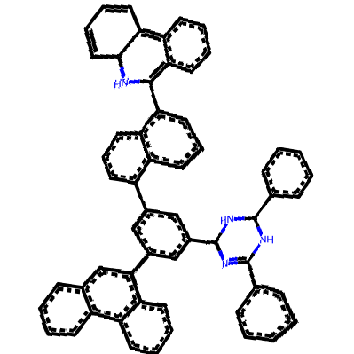 C1=CC2=c3ccccc3=C(c3cccc4c(-c5cc(-c6cc7ccccc7c7ccccc67)cc(C6N=C(c7ccccc7)NC(c7ccccc7)N6)c5)cccc34)NC2C=C1